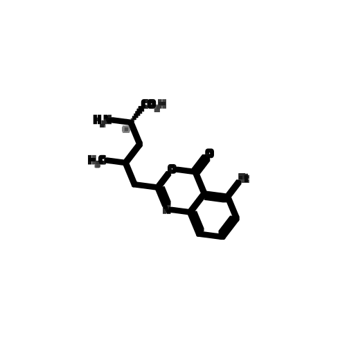 CCc1cccc2nc(CC(C)C[C@H](N)C(=O)O)oc(=O)c12